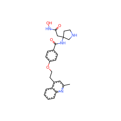 Cc1cc(CCOc2ccc(C(=O)NC3(CC(=O)NO)CCNC3)cc2)c2ccccc2n1